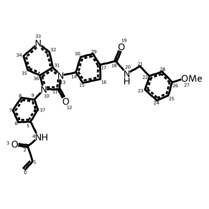 C=CC(=O)Nc1cccc(-n2c(=O)n(-c3ccc(C(=O)NCc4cccc(OC)c4)cc3)c3cnccc32)c1